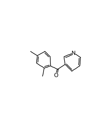 Cc1ccc(C(=O)c2cccnc2)c(C)c1